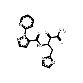 NC(=O)C(=O)C(Cc1ncco1)NC(=O)c1ccnn1-c1ccccn1